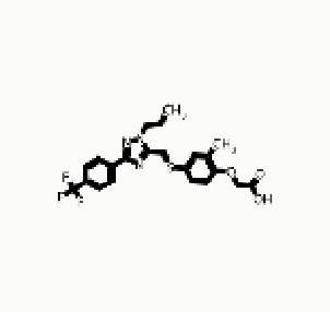 CCCn1nc(-c2ccc(C(F)(F)F)cc2)nc1CSc1ccc(OCC(=O)O)c(C)c1